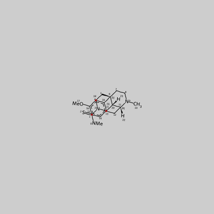 CNC(=S)N1CC[C@]23CCN(C)[C@H](Cc4ccc(OC)cc42)[C@@H]3C1